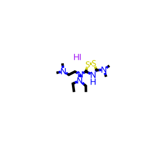 CCN(CC)N(CCN(C)C)C1NC(N(C)C)SS1.I